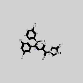 C=C(/C=C(/c1cc(F)cc(F)c1)N(N)c1cccc(Cl)c1)C(=O)N1CNC(=O)C1